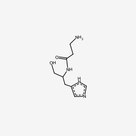 NCCC(=O)NC(CO)Cc1cnc[nH]1